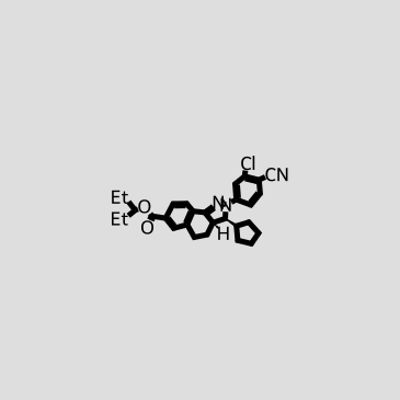 CCC(CC)OC(=O)c1ccc2c(c1)CC[C@H]1C2=NN(c2ccc(C#N)c(Cl)c2)[C@H]1C1CCCC1